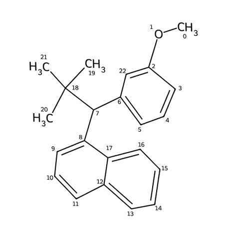 COc1cccc(C(c2cccc3ccccc23)C(C)(C)C)c1